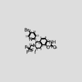 C[C@@H]1Cc2c(ccc3[nH]c(=O)oc23)[C@@H](c2ccc(Br)cn2)N1CC(F)(F)F